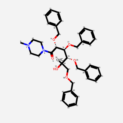 CN1CCN(C(=O)[C@H](OCc2ccccc2)[C@@H](OCc2ccccc2)[C@H](OCc2ccccc2)C(O)(C=O)COCc2ccccc2)CC1